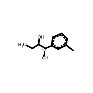 CCC(O)[C@H](O)c1cccc(I)c1